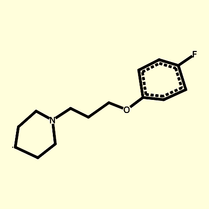 Fc1ccc(OCCCN2CC[CH]CC2)cc1